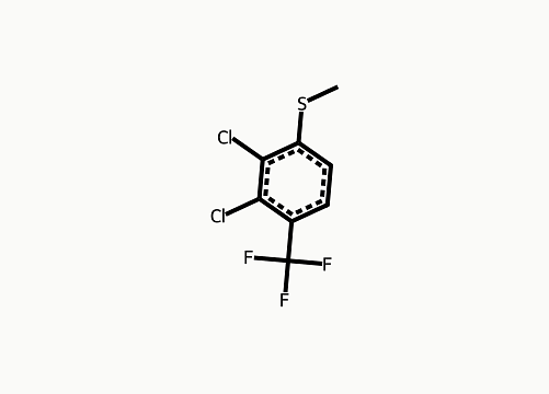 CSc1ccc(C(F)(F)F)c(Cl)c1Cl